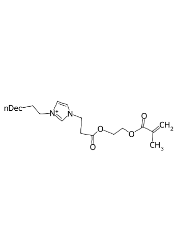 C=C(C)C(=O)OCCOC(=O)CCn1cc[n+](CCCCCCCCCCCC)c1